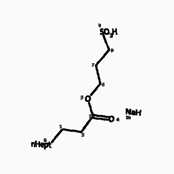 CCCCCCCCCC(=O)OCCCS(=O)(=O)O.[NaH]